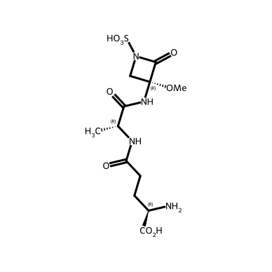 CO[C@]1(NC(=O)[C@@H](C)NC(=O)CC[C@@H](N)C(=O)O)CN(S(=O)(=O)O)C1=O